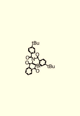 CC(C)(C)c1ccc(C(=O)N(C(=O)c2ccc(C(C)(C)C)cc2)C2=C(Br)C(=O)c3ccccc3C2=O)cc1